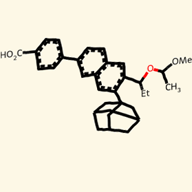 CCC(OC(C)OC)c1cc2ccc(-c3ccc(C(=O)O)cc3)cc2cc1C12CC3CC(CC(C3)C1)C2